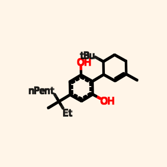 CCCCCC(C)(CC)c1cc(O)c(C2C=C(C)CCC2C(C)(C)C)c(O)c1